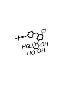 CC(C)(C)C#Cc1ccc(Cc2cc([C@@H]3O[C@H](CO)[C@@H](O)[C@H](O)[C@H]3O)ccc2Cl)cc1